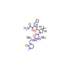 CN1CCCN(C[C@@H](NC(=O)N[C@H](C(=O)N2C[C@H]3[C@@H](C2C(=O)NC(CC2CCC2)C(=O)C(N)=O)C3(C)C)C(C)(C)C)C(C)(C)C)C1=O